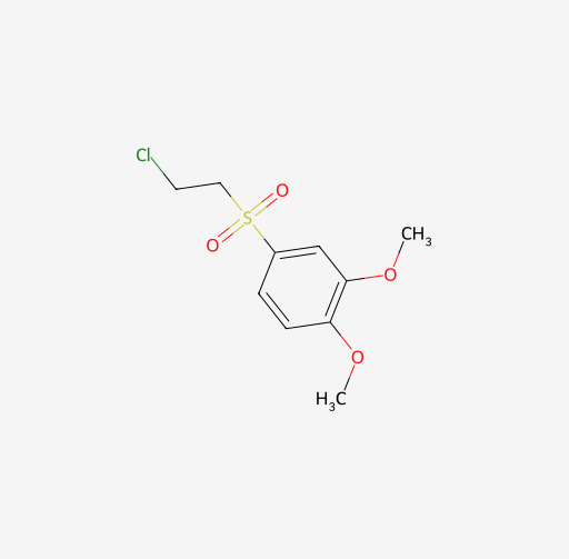 COc1ccc(S(=O)(=O)CCCl)cc1OC